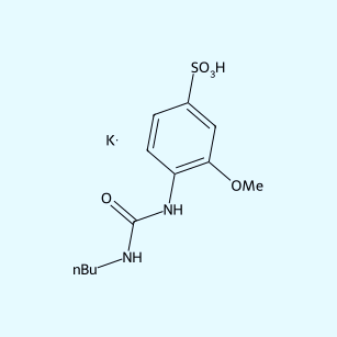 CCCCNC(=O)Nc1ccc(S(=O)(=O)O)cc1OC.[K]